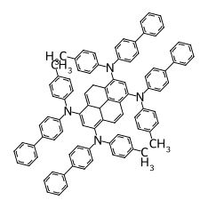 Cc1ccc(N(C2=CC(N(c3ccc(C)cc3)c3ccc(-c4ccccc4)cc3)=C3C=Cc4c(N(c5ccc(C)cc5)c5ccc(-c6ccccc6)cc5)cc(N(c5ccc(C)cc5)c5ccc(-c6ccccc6)cc5)c5c4C3C2=CC5)c2ccc(-c3ccccc3)cc2)cc1